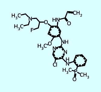 C=CC(=O)Nc1cc(Nc2ncc(Cl)c(Nc3ccccc3P(C)(C)=O)n2)c(OC)cc1OC(CF)CN(CC)CC